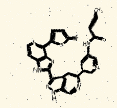 CCCC(=O)Nc1cncc(-c2cc3c(-c4nc5c(-c6ccc(F)s6)nccc5[nH]4)n[nH]c3cn2)c1